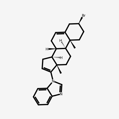 C[C@]12CC[C@H](Br)CC1=CC[C@@H]1[C@@H]2CC[C@]2(C)C(n3cnc4ccccc43)=CC[C@@H]12